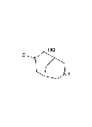 Cl.[O-][S+]1CC2CNCC(C2)C1